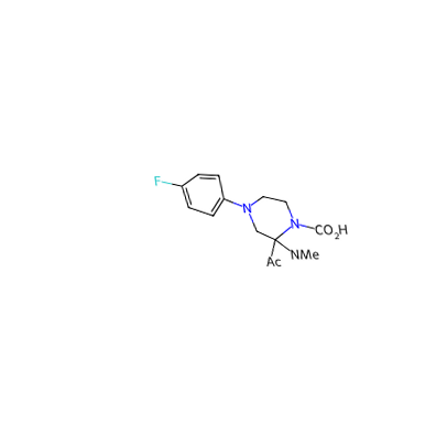 CNC1(C(C)=O)CN(c2ccc(F)cc2)CCN1C(=O)O